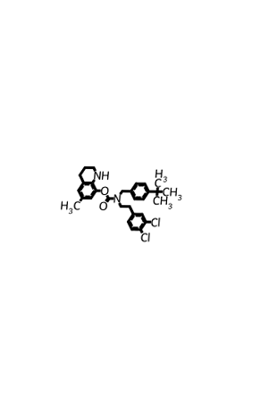 Cc1cc2c(c(OC(=O)N(CCc3ccc(Cl)c(Cl)c3)Cc3ccc(C(C)(C)C)cc3)c1)NCCC2